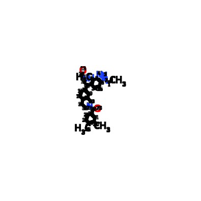 CCn1nnc2c(C)c([C@@H](CNC=O)c3ccc4c(c3)CN(C(=O)c3ccc(C)c(C)c3)CC4)ccc21